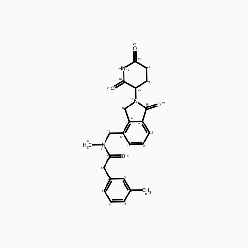 Cc1cccc(CC(=O)N(C)Cc2cccc3c2CN(C2CCC(=O)NC2=O)C3=O)c1